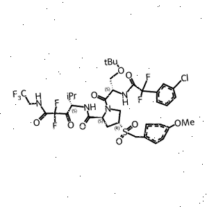 COc1ccc(CS(=O)(=O)[C@@H]2C[C@@H](C(=O)N[C@H](C(=O)C(F)(F)C(=O)NCC(F)(F)F)C(C)C)N(C(=O)[C@H](COC(C)(C)C)NC(=O)C(F)(F)c3cccc(Cl)c3)C2)cc1